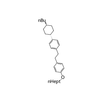 CCCCCCCOc1ccc(CCc2ccc([C@H]3CC[C@H](CCCC)CC3)cc2)cc1